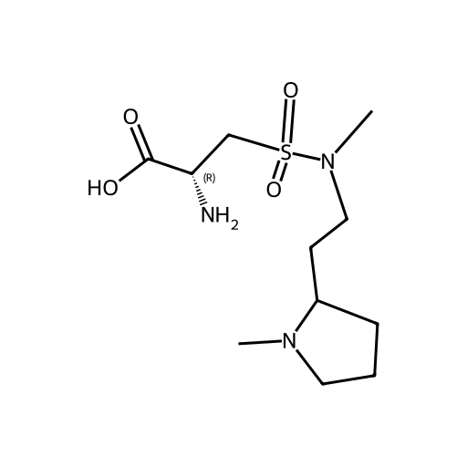 CN1CCCC1CCN(C)S(=O)(=O)C[C@H](N)C(=O)O